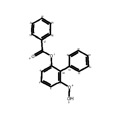 O=C(Oc1cccc(OO)c1-c1ccccc1)c1ccccc1